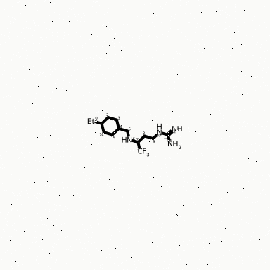 CCC1CCC(CNC(CCNC(=N)N)C(F)(F)F)CC1